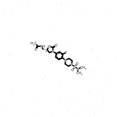 CC(=S)NC[C@H]1CN(c2ccc(N3CCN(S(=O)(=O)N(C)C)CC3)c(F)c2)C(=O)O1